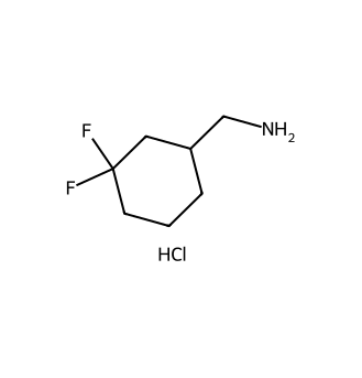 Cl.NCC1CCCC(F)(F)C1